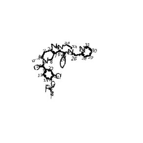 C[C@@H]1Cc2nn3c(c2CN1C(=O)c1ccc(OC(F)F)c(Cl)c1)C(=O)N(Cc1ccccn1)CC3